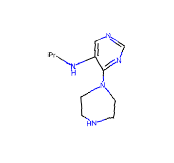 CC(C)Nc1cncnc1N1CCNCC1